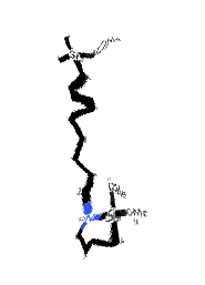 CO[Si](C)(C)CCCCCCCCN1CCC[Si]1(OC)OC